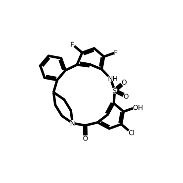 O=C1c2cc(Cl)c(O)c(c2)S(=O)(=O)Nc2cc(c(F)cc2F)-c2ccccc2C2CCN1CC2